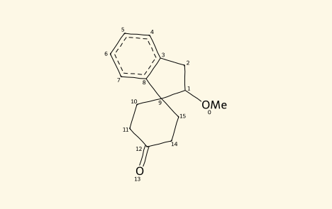 COC1Cc2ccccc2C12CCC(=O)CC2